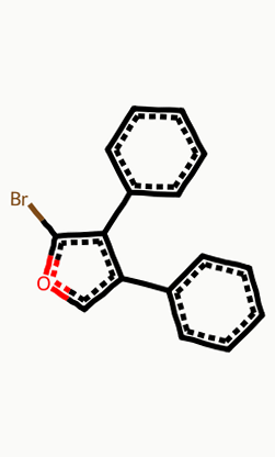 Brc1occ(-c2ccccc2)c1-c1ccccc1